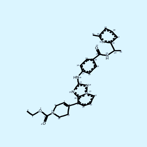 CCOC(=O)N1CC=C(c2cccn3nc(Nc4ccc(C(=O)NC(C)c5cccc(C)n5)cc4)nc23)CC1